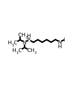 CC(C)N(PCCCCCCNI)C(C)C